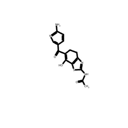 CC(=O)Nc1nc2c(s1)C(O)=C(C(=O)c1ccc(N)nc1)CC2